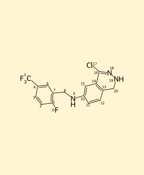 Fc1ccc(C(F)(F)F)cc1CNc1ccc2c(c1)C(Cl)=NNC2